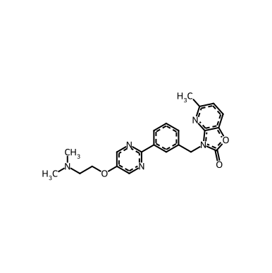 Cc1ccc2oc(=O)n(Cc3cccc(-c4ncc(OCCN(C)C)cn4)c3)c2n1